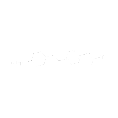 CCCCCCCC1CCC(CCc2ccc(OC(F)C(F)(F)F)cc2)CC1